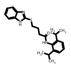 CC(C)c1cccc(C(C)C)c1NC(=O)CCCSc1nc2ccccc2[nH]1